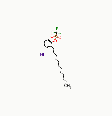 CCCCCCCCCCCCc1ccccc1OS(=O)(=O)C(F)(F)F.I